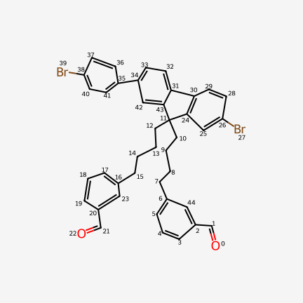 O=Cc1cccc(CCCCC2(CCCCc3cccc(C=O)c3)c3cc(Br)ccc3-c3ccc(-c4ccc(Br)cc4)cc32)c1